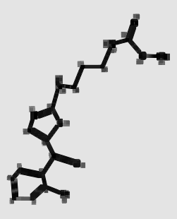 CCc1ccccc1C(=O)c1cnc(NCCCNC(=O)OC(C)(C)C)s1